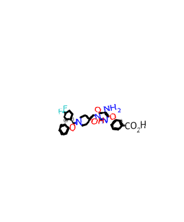 Nc1c(Oc2cccc(C(=O)O)c2)ncn(CC2(O)CCN(C(=O)[C@@H]3CCC(F)(F)C[C@H]3c3ccccc3)CC2)c1=O